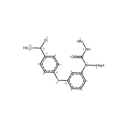 CCCCCCCN(C(=O)NCCCC)c1cccc(Sc2ccc(C(CC)C(=O)O)cc2)c1